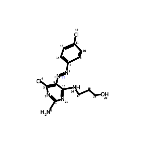 Nc1nc(Cl)c(/N=N/c2ccc(Cl)cc2)c(NCCCO)n1